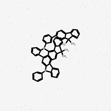 CC1(C)c2ccccc2-c2ccc(-c3cccc(N(c4ccccc4-c4ccc5c6ccccc6n(-c6ccccc6)c5c4)c4cccc5c4-c4ccccc4C5(C)C)c3)cc21